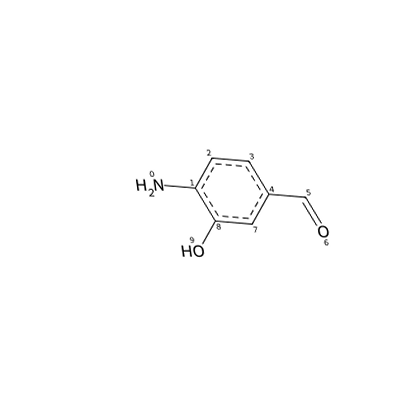 Nc1ccc(C=O)cc1O